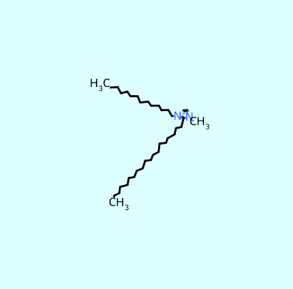 CCCCCCCCCCCCCCCCCCCc1n(C)cc[n+]1CCCCCCCCCCCCCC